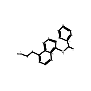 CC(Oc1cccc2c(CCC(C)(C)C)cccc12)c1ccccc1